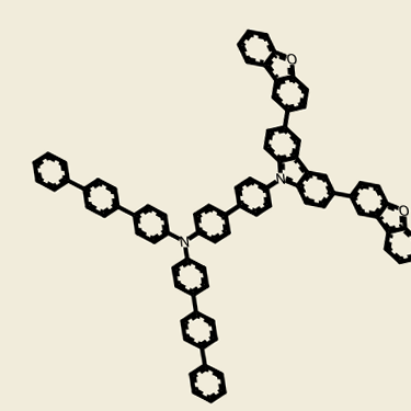 c1ccc(-c2ccc(-c3ccc(N(c4ccc(-c5ccc(-c6ccccc6)cc5)cc4)c4ccc(-c5ccc(-n6c7ccc(-c8ccc9oc%10ccccc%10c9c8)cc7c7cc(-c8ccc9oc%10ccccc%10c9c8)ccc76)cc5)cc4)cc3)cc2)cc1